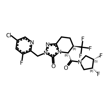 O=C([C@H]1[C@H](C(F)(F)F)CCc2nn(Cc3ncc(Cl)cc3F)c(=O)n21)N1C[C@@H](F)[C@@H](F)C1